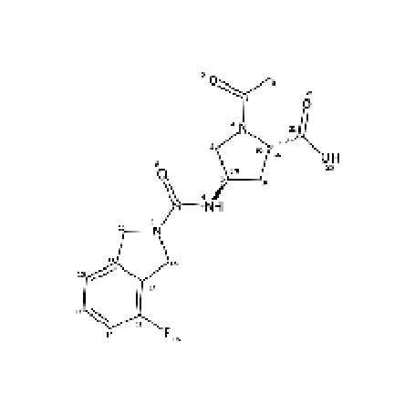 CC(=O)N1C[C@H](NC(=O)N2Cc3cccc(F)c3C2)C[C@H]1C(=O)O